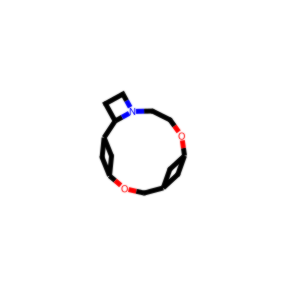 C1CN2CCC2C2CC(C2)OCC2CC(C2)O1